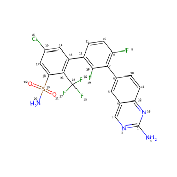 Nc1ncc2cc(-c3c(F)ccc(-c4cc(Cl)cc(S(N)(=O)=O)c4C(F)(F)F)c3F)ccc2n1